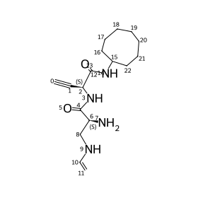 C#C[C@H](NC(=O)[C@@H](N)CNC=C)C(=O)NC1CCCCCCC1